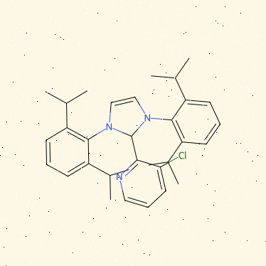 CC(C)c1cccc(C(C)C)c1N1C=CN(c2c(C(C)C)cccc2C(C)C)C1c1ncccc1Cl